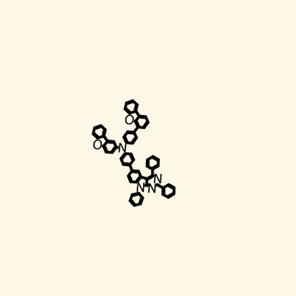 c1ccc(-c2nc(-c3ccccc3)c3c4cc(-c5ccc(N(c6ccc(-c7cccc8c7oc7ccccc78)cc6)c6ccc7oc8ccccc8c7c6)cc5)ccc4n(-c4ccccc4)c3n2)cc1